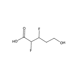 O=C(O)C(F)C(F)CCO